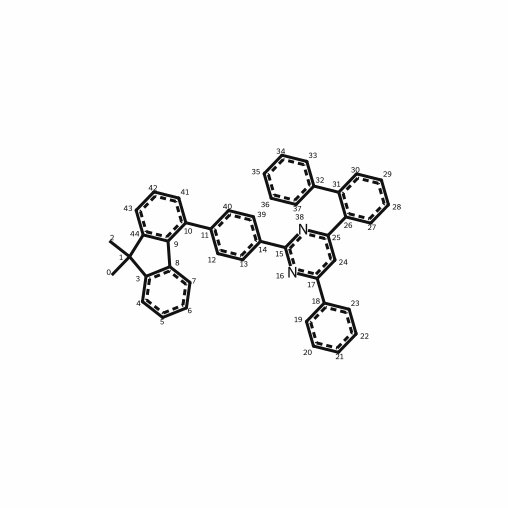 CC1(C)c2ccccc2-c2c(-c3ccc(-c4nc(-c5ccccc5)cc(-c5ccccc5-c5ccccc5)n4)cc3)cccc21